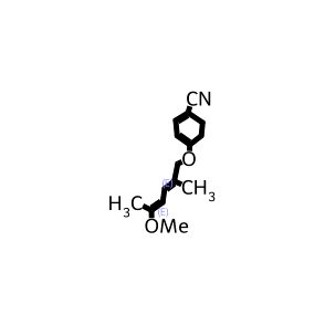 CO/C(C)=C/C=C(\C)COC1=CC=C(C#N)CC1